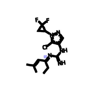 CC/C(C=C(C)C)=N\C(=N)Nc1cnn(C2CC2(F)F)c1Cl